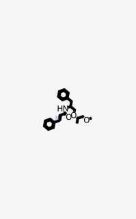 COCC(C)OCC(Cc1ccccc1)NC(=O)/C=C/c1ccccc1